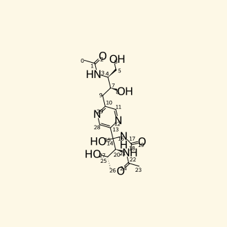 CC(=O)N[C@@H](CO)[C@@H](O)Cc1cnc(C(O)(NC(C)=O)[C@@H](NC(C)=O)[C@H](C)O)cn1